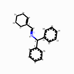 C1=C(/C=N/C(c2ccccc2)c2ccccc2)CCCC1